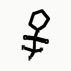 O=S(=O)(N1CCCCC1)C(F)(F)F